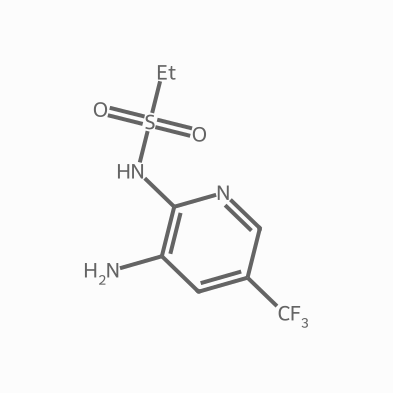 CCS(=O)(=O)Nc1ncc(C(F)(F)F)cc1N